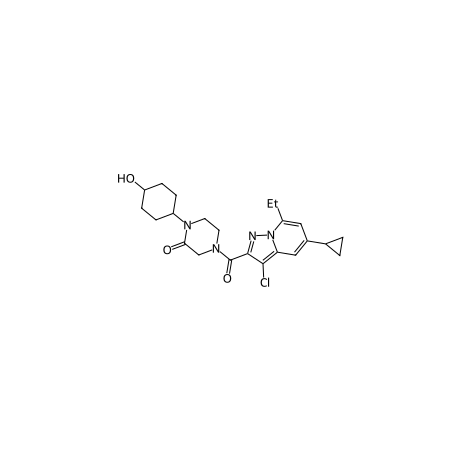 CCc1cc(C2CC2)cc2c(Cl)c(C(=O)N3CCN(C4CCC(O)CC4)C(=O)C3)nn12